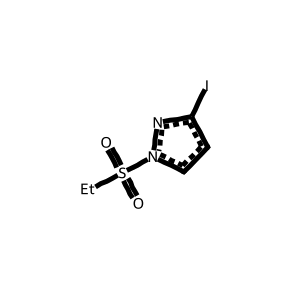 CCS(=O)(=O)n1ccc(I)n1